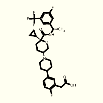 C[C@@H](NC(=O)[C@@]1(C2CC2)CC[C@@H](N2CCC(c3ccc(F)c(CC(=O)O)c3)CC2)CO1)c1cc(F)cc(C(F)(F)F)c1